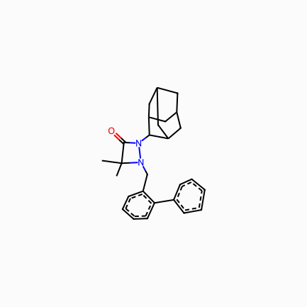 CC1(C)C(=O)N(C2C3CC4CC(C3)CC2C4)N1Cc1ccccc1-c1ccccc1